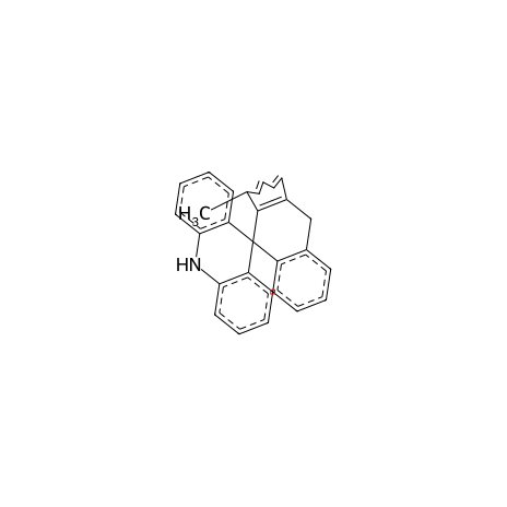 CC1C=CC=CC2=C1C1(c3ccccc3C2)c2ccccc2Nc2ccccc21